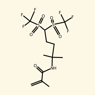 C=C(C)C(=O)NC(C)(C)CCC(S(=O)(=O)C(F)(F)F)S(=O)(=O)C(F)(F)F